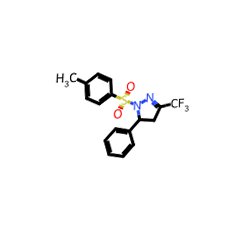 Cc1ccc(S(=O)(=O)N2N=C(C(F)(F)F)CC2c2ccccc2)cc1